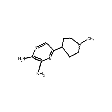 CN1CCC(c2cnc(N)c(N)n2)CC1